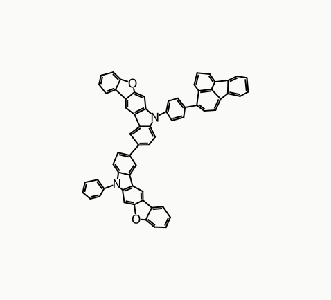 c1ccc(-n2c3ccc(-c4ccc5c(c4)c4cc6c(cc4n5-c4ccc(-c5ccc7c8c(cccc58)-c5ccccc5-7)cc4)oc4ccccc46)cc3c3cc4c(cc32)oc2ccccc24)cc1